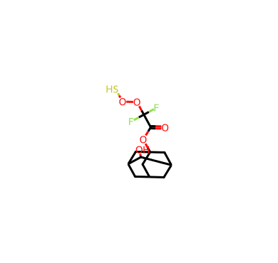 O=C(OC12CC3CC(C1)C(O)C(C3)C2)C(F)(F)OOS